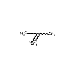 CCCCCCCC([CH]C(CCCCCCC)CCCCCCC)CCCCCC